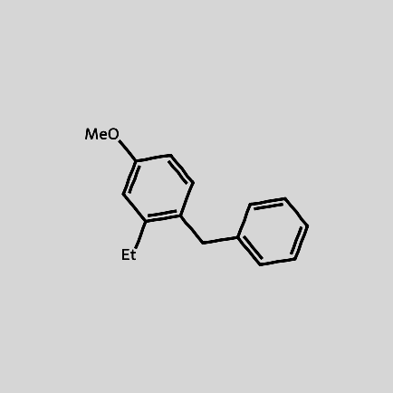 CCc1cc(OC)ccc1Cc1ccccc1